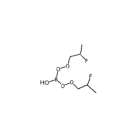 CC(F)COOB(O)OOCC(C)F